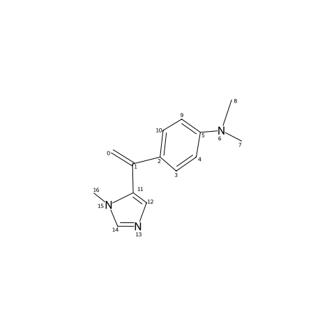 C=C(c1ccc(N(C)C)cc1)c1cncn1C